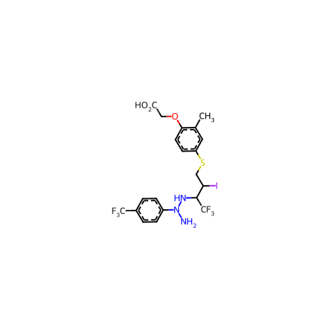 Cc1cc(SCC(I)C(NN(N)c2ccc(C(F)(F)F)cc2)C(F)(F)F)ccc1OCC(=O)O